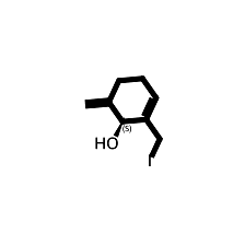 C=C1CCC=C(CI)[C@H]1O